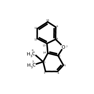 CC1(C)CC=Cc2oc3ccccc3c21